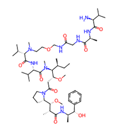 CC[C@H](C)[C@@H]([C@@H](CC(=O)N1CCC[C@H]1[C@H](OC)[C@@H](C)C(=O)N[C@H](C)[C@@H](O)c1ccccc1)OC)N(C)C(=O)[C@@H](NC(=O)[C@H](C(C)C)N(C)CCOCNC(=O)CNC(=O)[C@H](C)NC(=O)[C@@H](N)C(C)C)C(C)C